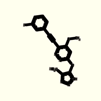 O=C(O)c1nn[nH]c1Oc1cc(OC(F)(F)F)c(C#Cc2cccc(F)c2)nn1